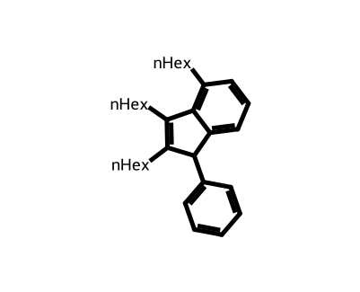 CCCCCCC1=C(CCCCCC)C(c2ccccc2)c2cccc(CCCCCC)c21